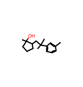 Cc1cccc(C(C)(C)CC2CCCC2(C)O)c1